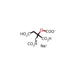 O=C(O)CC(CC(=O)O)(OC(=O)[O-])C(=O)O.[Na+]